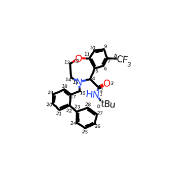 CC(C)(C)NC(=O)C1c2cc(C(F)(F)F)ccc2OCCN1Cc1ccccc1-c1ccccc1